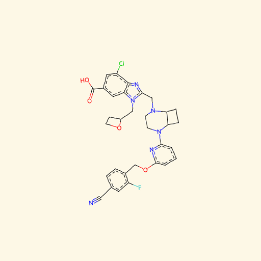 N#Cc1ccc(COc2cccc(N3CCN(Cc4nc5c(Cl)cc(C(=O)O)cc5n4CC4CCO4)C4CCC43)n2)c(F)c1